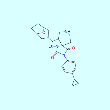 CCN1C(=O)N(c2ccc(C3CC3)cc2)C(=O)C12CCNCC2CC1CC2CCC(C1)O2